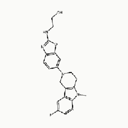 Cn1c2c(c3cc(F)cnc31)CN(c1ccc3nc(NCCO)oc3c1)CC2